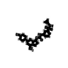 O=C(Nc1cccc(S(=O)(=O)NC2CC2)c1)Oc1cnn2c(C(F)(F)F)cc(-c3ccc(Cl)cc3)nc12